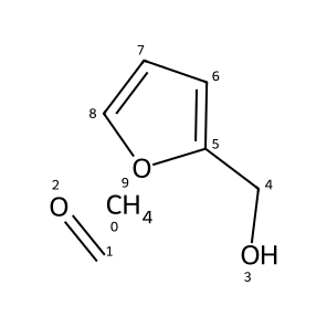 C.C=O.OCc1ccco1